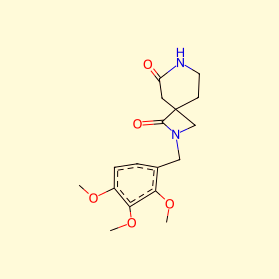 COc1ccc(CN2CC3(CCNC(=O)C3)C2=O)c(OC)c1OC